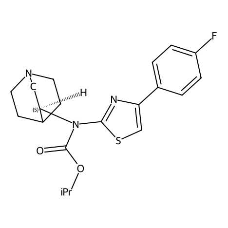 CC(C)OC(=O)N(c1nc(-c2ccc(F)cc2)cs1)[C@@H]1CN2CCC1CC2